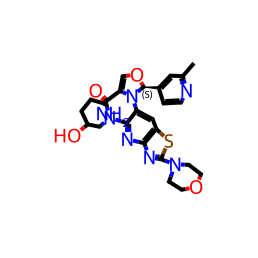 Cc1cc([C@@H]2OC=C(C(N)=O)N2c2cc3sc(N4CCOCC4)nc3nc2N2CCCC(O)C2)ccn1